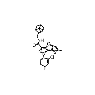 Cc1cc2oc3c(C(=O)NCC4CCC5CC4C5(C)C)nn(C4=CCC(C)C=C4Cl)c3c2s1